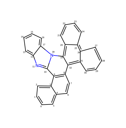 c1ccc2c(c1)ccc1c2c2nc3ccccc3n2c2c3ccccc3c3ccccc3c12